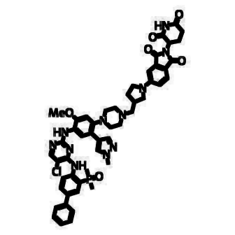 COc1cc(N2CCN(CC3CCN(c4ccc5c(c4)C(=O)N(C4CCC(=O)NC4=O)C5=O)C3)CC2)c(-c2cnn(C)c2)cc1Nc1ncc(Cl)c(Nc2ccc(-c3ccccc3)cc2P(C)(C)=O)n1